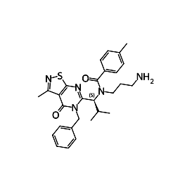 Cc1ccc(C(=O)N(CCCN)[C@H](c2nc3snc(C)c3c(=O)n2Cc2ccccc2)C(C)C)cc1